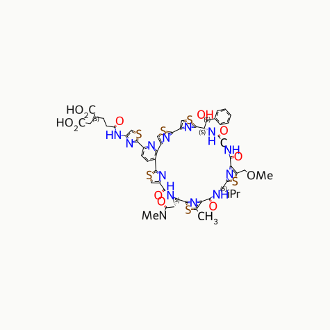 CNC(=O)C[C@@H]1NC(=O)c2csc(n2)-c2ccc(-c3nc(NC(=O)CC[C@@H](CC(=O)O)C(=O)O)cs3)nc2-c2csc(n2)-c2csc(n2)[C@H]([C@@H](O)c2ccccc2)NC(=O)CNC(=O)c2nc(sc2COC)[C@H](C(C)C)NC(=O)c2nc1sc2C